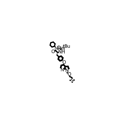 CC(C)(C)OC(=O)N[C@@H](Cc1ccc(Oc2ccnc3c2ccn3COCCS(C)(C)C)cc1)C(=O)NC1CCCCC1